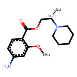 CCCCOc1cc(N)ccc1C(=O)OC[C@H](C(C)CC)N1CCCCC1